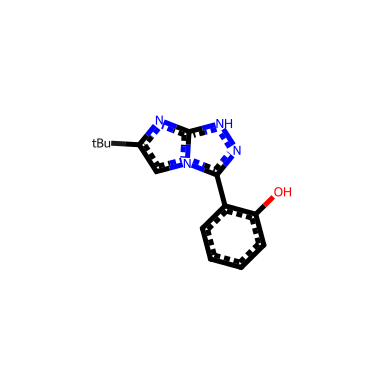 CC(C)(C)c1cn2c(-c3ccccc3O)n[nH]c2n1